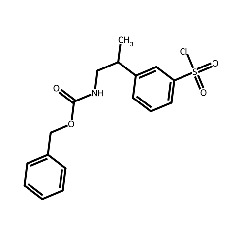 CC(CNC(=O)OCc1ccccc1)c1cccc(S(=O)(=O)Cl)c1